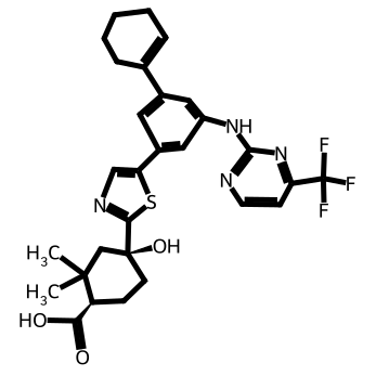 CC1(C)C[C@](O)(c2ncc(-c3cc(Nc4nccc(C(F)(F)F)n4)cc(C4=CCCCC4)c3)s2)CC[C@H]1C(=O)O